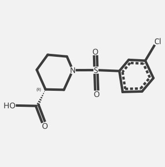 O=C(O)[C@@H]1CCCN(S(=O)(=O)c2cccc(Cl)c2)C1